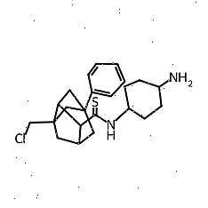 NC1CCC(NC(=S)C2C3CC4(c5ccccc5)CC2C(CCl)(C3)C4)CC1